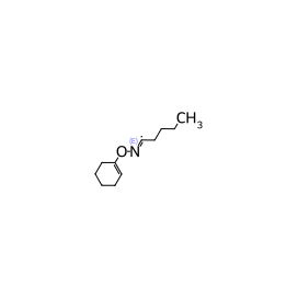 CCCC/[C]=N/OC1=CCCCC1